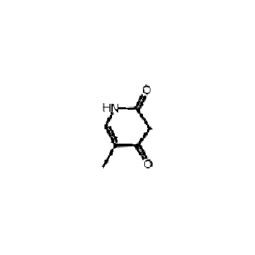 CC1=CNC(=O)CC1=O